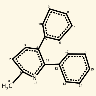 Cc1ccc(-c2ccccc2)c(-c2ccccc2)n1